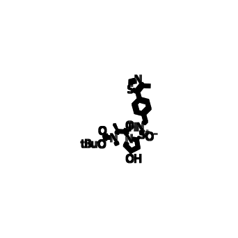 Cc1ncsc1-c1ccc(CN[S+]([O-])[C@H]2C[C@H](O)CN2C(=O)[C@H](C)N(C)C(=O)OC(C)(C)C)cc1